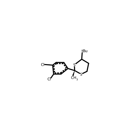 CC(C)(C)C1CCS[C@](C)(c2ccc(Cl)c(Cl)c2)S1